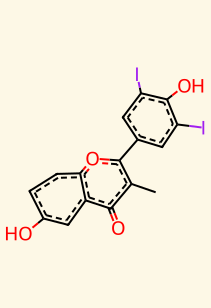 Cc1c(-c2cc(I)c(O)c(I)c2)oc2ccc(O)cc2c1=O